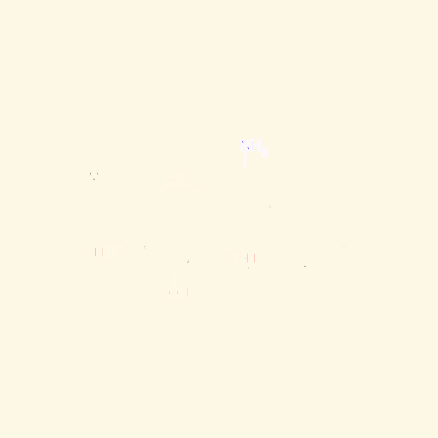 CSC1OC(C(N)c2ccccc2)C(O)C(O)C1O